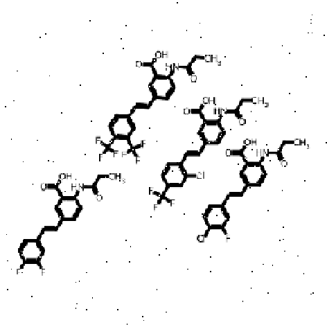 CCC(=O)Nc1ccc(C=Cc2ccc(C(F)(F)F)c(C(F)(F)F)c2)cc1C(=O)O.CCC(=O)Nc1ccc(C=Cc2ccc(C(F)(F)F)cc2Cl)cc1C(=O)O.CCC(=O)Nc1ccc(C=Cc2ccc(Cl)c(F)c2)cc1C(=O)O.CCC(=O)Nc1ccc(C=Cc2ccc(F)c(F)c2)cc1C(=O)O